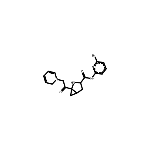 O=C(Nc1cccc(Br)n1)C1CC2CC2(C(=O)CN2C=CC=CC2)N1